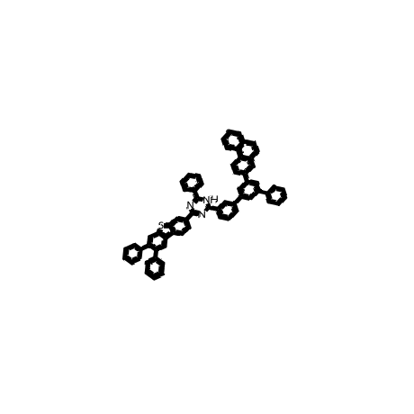 c1ccc(C2=NC(c3ccc4c(c3)sc3cc(-c5ccccc5)c(-c5ccccc5)cc34)=NC(c3cccc(-c4cc(-c5ccccc5)cc(-c5ccc6c(ccc7ccccc76)c5)c4)c3)N2)cc1